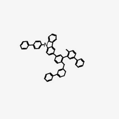 Cc1ccc(-c2ccccc2)cc1-c1cc(-c2ccc3c(c2)c2ccccc2n3-c2ccc(-c3ccccc3)cc2)ccc1CC1=CC(c2ccccc2)=CCC1